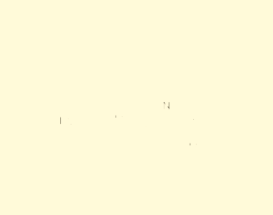 CCOCn1[c]cccc1=O